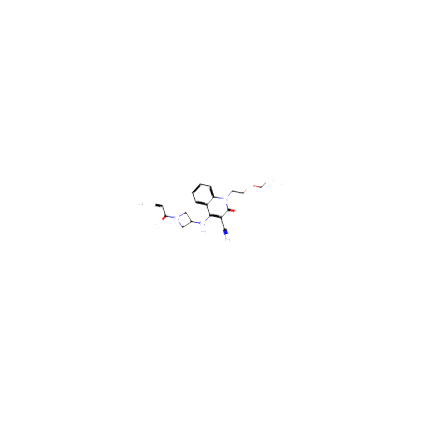 C=CC(=O)N1CC(Nc2c(C#N)c(=O)n(CCOCC)c3ccccc23)C1